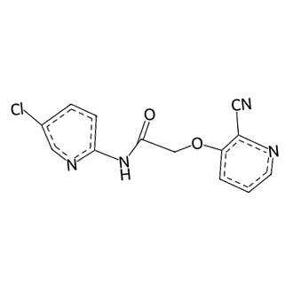 N#Cc1ncccc1OCC(=O)Nc1ccc(Cl)cn1